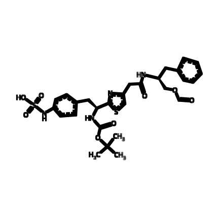 CC(C)(C)OC(=O)N[C@@H](Cc1ccc(NS(=O)(=O)O)cc1)c1nc(CC(=O)N[C@H](COC=O)Cc2ccccc2)cs1